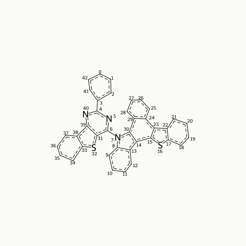 c1ccc(-c2nc(-n3c4ccccc4c4c5sc6ccccc6c5c5ccccc5c43)c3sc4ccccc4c3n2)cc1